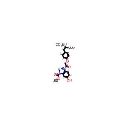 CCOC(=O)C(Cc1ccc(OCC(=O)Nc2ccc(O)cc2N(C)C(=O)OC(C)(C)C)cc1)SC